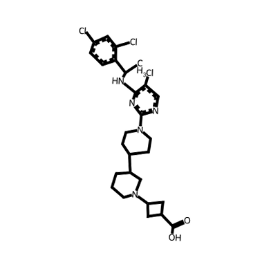 CC(Nc1nc(N2CCC(C3CCCN(C4CC(C(=O)O)C4)C3)CC2)ncc1Cl)c1ccc(Cl)cc1Cl